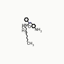 CCCCCCCCCC(C)NC(=O)/C(=C\c1ccc(N)cc1)c1ccccc1